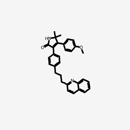 COc1ccc(C2=C(c3ccc(CCCc4ccc5ccccc5n4)cc3)C(=O)NC2(C)C)cc1